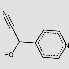 N#CC(O)c1ccncc1